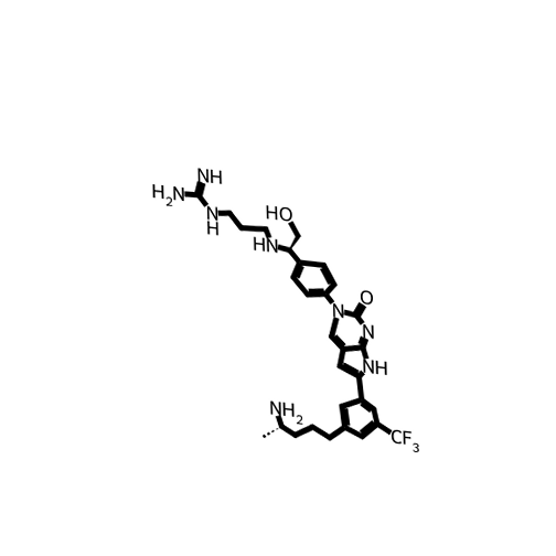 C[C@H](N)CCCc1cc(-c2cc3cn(-c4ccc([C@H](CO)NCCCNC(=N)N)cc4)c(=O)nc3[nH]2)cc(C(F)(F)F)c1